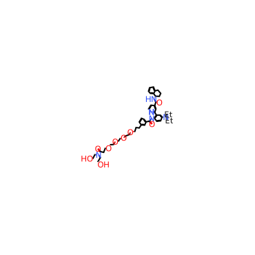 CCN(CC)c1ccc(NC(=O)c2cccc(CCCOCCOCCOCCOCCC(=O)N(CCO)CCO)c2)c(-c2cc(C(=O)N[C@H]3CCCc4ccccc43)ccn2)c1